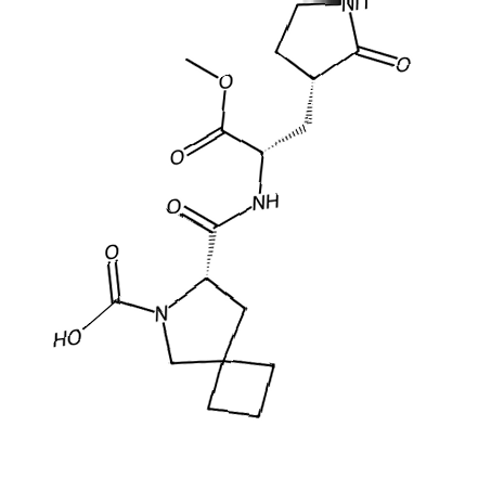 COC(=O)[C@H](C[C@@H]1CCNC1=O)NC(=O)[C@@H]1CC2(CCC2)CN1C(=O)O